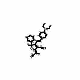 CCN(CC)c1ccc(/C=C/C2=C(C#N)C(=C(\C)C#N)/OC2(C)c2ccccc2)cc1